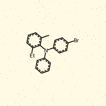 CCc1cccc(C)c1N(c1ccccc1)c1ccc(Br)cc1